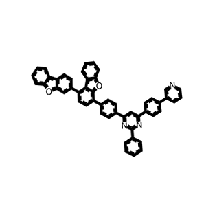 c1ccc(-c2nc(-c3ccc(-c4cccnc4)cc3)cc(-c3ccc(-c4ccc(-c5ccc6c(c5)oc5ccccc56)c5c4oc4ccccc45)cc3)n2)cc1